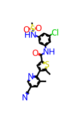 Cc1cc(C#N)cnc1-c1cc(C(=O)Nc2cc(Cl)cc(NS(C)(=O)=O)c2)sc1C